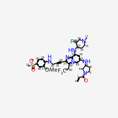 C=CC(=O)N1CC[C@H](Nc2cc(N[C@@H]3CCN(C)C[C@@H]3F)c3nc(C#CCNc4ccc(S(C)(=O)=O)cc4OC)c(CC(F)(F)F)n3c2)C1